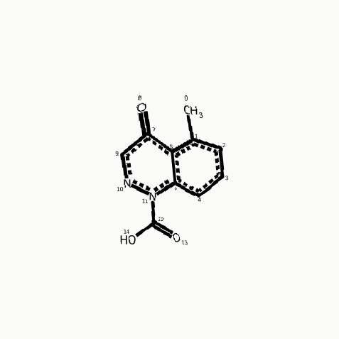 Cc1cccc2c1c(=O)cnn2C(=O)O